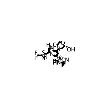 C[C@H]1CO[C@H](CO)CN1c1cc(S(=O)(=O)NC2(C#N)CC2)cn2c(-c3nnc(C(F)F)s3)cnc12